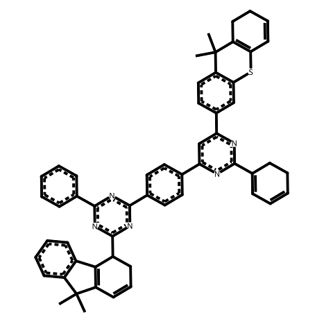 CC1(C)C2=C(C=CCC2)Sc2cc(-c3cc(-c4ccc(-c5nc(-c6ccccc6)nc(C6CC=CC7=C6c6ccccc6C7(C)C)n5)cc4)nc(C4=CC=CCC4)n3)ccc21